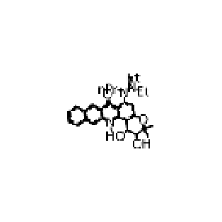 CCCN(c1cc2c(c3c1c(=O)c1cc4ccccc4cc1n3C)C(O)C(O)C(C)(C)O2)N(CC)CC